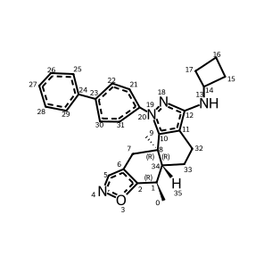 C[C@H]1c2oncc2C[C@@]2(C)c3c(c(NC4CCC4)nn3-c3ccc(-c4ccccc4)cc3)CC[C@H]12